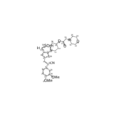 COc1ccc(C(C#N)=Cc2ccc(N3CCC(OC(=O)CN4CCOCC4)CC3)s2)cc1OC.CS(=O)(=O)O